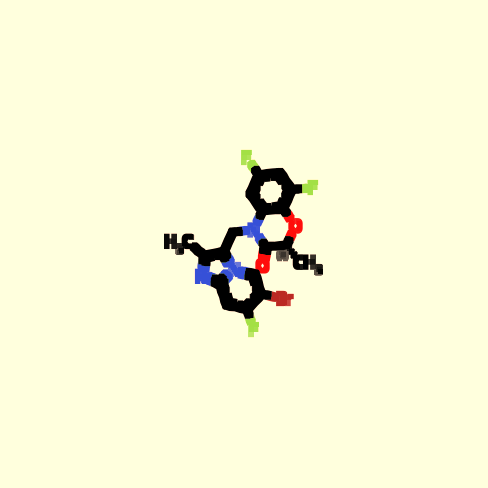 Cc1nc2cc(F)c(Br)cn2c1CN1C(=O)[C@@H](C)Oc2c(F)cc(F)cc21